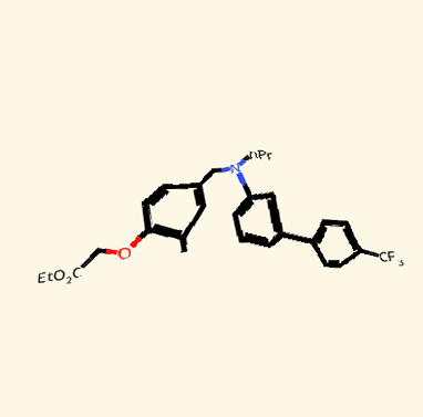 CCCN(Cc1ccc(OCC(=O)OCC)c(C)c1)c1cccc(-c2ccc(C(F)(F)F)cc2)c1